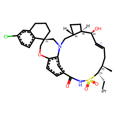 CC(C)C[C@H]1[C@H](C)C/C=C/[C@H](O)[C@@H]2CC[C@H]2CN2C[C@@]3(CCCc4cc(Cl)ccc43)COc3ccc(cc32)C(=O)NS1(=O)=O